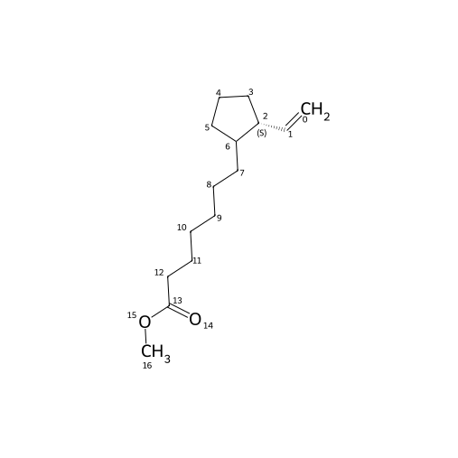 C=C[C@H]1CCCC1CCCCCCC(=O)OC